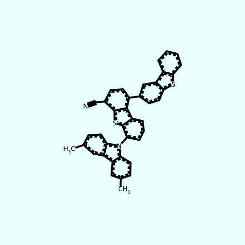 Cc1ccc2c(c1)c1cc(C)ccc1n2-c1cccc2c1sc1c(C#N)ccc(-c3ccc4sc5ccccc5c4c3)c12